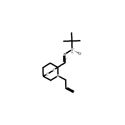 C=CCN1CC2CCC1(/C=N/[S@@+]([O-])C(C)(C)C)CC2